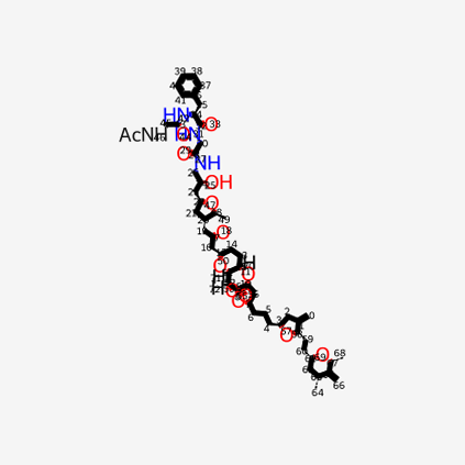 C=C1C[C@H](CCCC2OC3C4O[C@H]5CC[C@H](CC(=O)C[C@@H]6C[C@@H](C[C@H](O)CNC(=O)CNC(=O)[C@H](Cc7ccccc7)NC(=O)CNC(C)=O)O[C@H]6C)O[C@@H]5[C@@H]3OCOC24)O[C@H]1CC[C@H]1C[C@@H](C)C(=C)[C@@H](C)O1